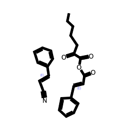 CCCCCC(=O)C(=O)OC(=O)/C=C/c1ccccc1.N#C/C=C/c1ccccc1